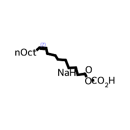 CCCCCCCC/C=C\CCCCCCCC(=O)OC(=O)O.[NaH]